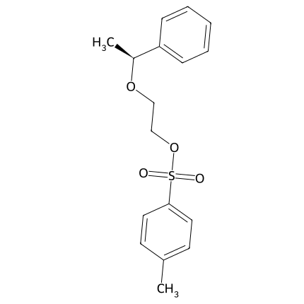 Cc1ccc(S(=O)(=O)OCCO[C@@H](C)c2ccccc2)cc1